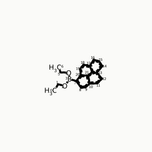 CCOB(OCC)c1ccc2ccc3cccc4ccc1c2c34